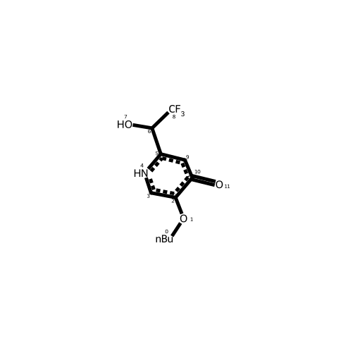 CCCCOc1c[nH]c(C(O)C(F)(F)F)cc1=O